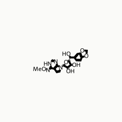 CON=c1[nH]cnc2c1ccn2[C@@H]1O[C@H](C(O)c2ccc3c(c2)OCO3)[C@@H](O)[C@H]1O